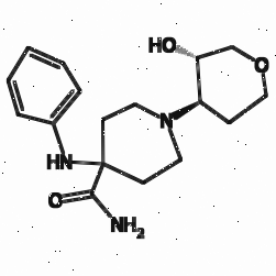 NC(=O)C1(Nc2ccccc2)CCN([C@@H]2CCOC[C@H]2O)CC1